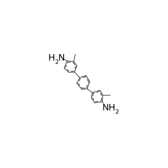 Cc1cc(-c2ccc(-c3ccc(N)c(C)c3)cc2)ccc1N